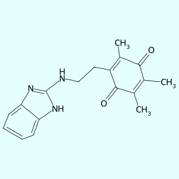 CC1=C(C)C(=O)C(CCNc2nc3ccccc3[nH]2)=C(C)C1=O